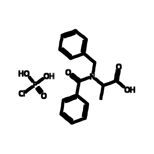 CC(C(=O)O)N(Cc1ccccc1)C(=O)c1ccccc1.O=P(O)(O)Cl